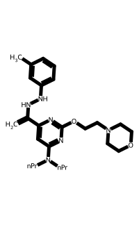 C=C(NNc1cccc(C)c1)c1cc(N(CCC)CCC)nc(OCCN2CCOCC2)n1